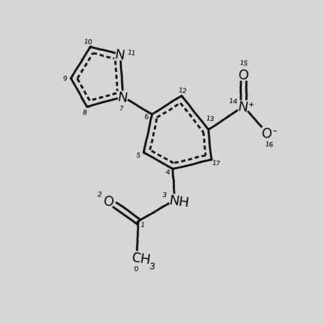 CC(=O)Nc1cc(-n2cccn2)cc([N+](=O)[O-])c1